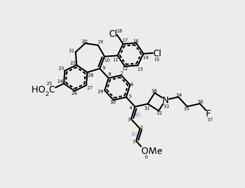 CO/C=C/C=C(/c1ccc(C2=C(c3ccc(Cl)cc3Cl)CCCc3cc(C(=O)O)ccc32)cc1)C1CN(CCCF)C1